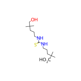 CC(C)(CO)CCCNC(=S)NCCCC(C)(C)C(=O)O